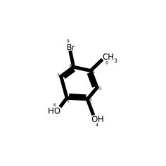 Cc1cc(O)c(O)cc1Br